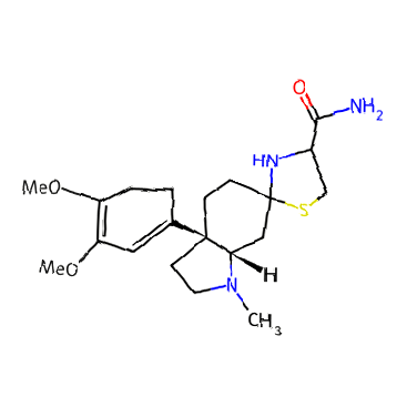 COC1=C(OC)CCC([C@]23CCN(C)[C@H]2CC2(CC3)NC(C(N)=O)CS2)=C1